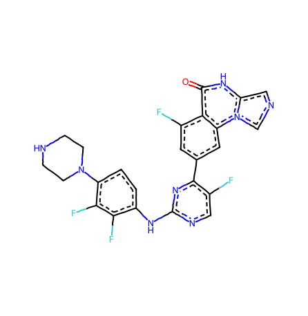 O=c1[nH]c2cncn2c2cc(-c3nc(Nc4ccc(N5CCNCC5)c(F)c4F)ncc3F)cc(F)c12